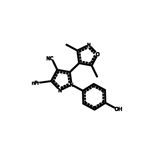 CCCc1nn(-c2ccc(O)cc2)c(-c2c(C)noc2C)c1C#N